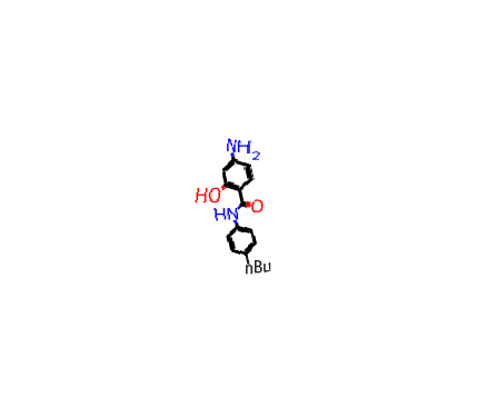 CCCCc1ccc(NC(=O)c2ccc(N)cc2O)cc1